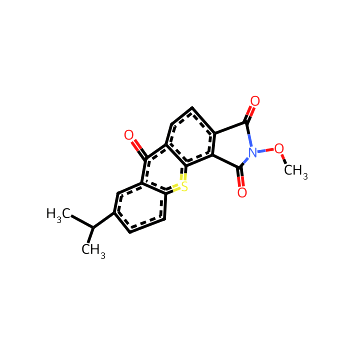 CON1C(=O)c2ccc3c(=O)c4cc(C(C)C)ccc4sc3c2C1=O